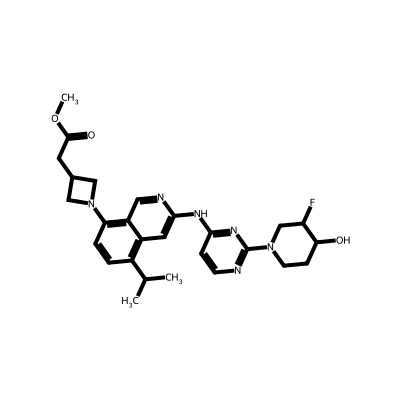 COC(=O)CC1CN(c2ccc(C(C)C)c3cc(Nc4ccnc(N5CCC(O)C(F)C5)n4)ncc23)C1